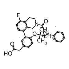 CC(C)(C)Oc1ccc(CC(=O)O)cc1-c1ccc(F)c2c1CN(C(=O)[C@@H]1C[C@H]1c1ccccc1)CC2